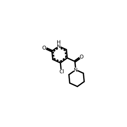 O=C(c1c[nH]c(=O)cc1Cl)N1CCCCC1